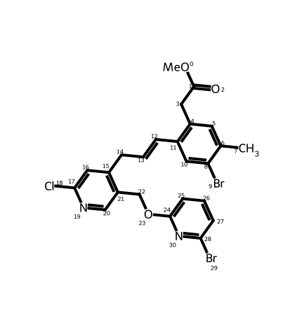 COC(=O)Cc1cc(C)c(Br)cc1/C=C/Cc1cc(Cl)ncc1COc1cccc(Br)n1